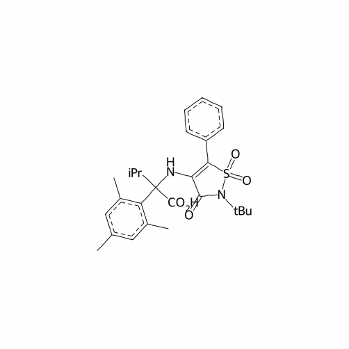 Cc1cc(C)c(C(NC2=C(c3ccccc3)S(=O)(=O)N(C(C)(C)C)C2=O)(C(=O)O)C(C)C)c(C)c1